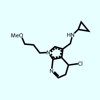 COCCCn1cc(CNC2CC2)c2c1N=CCC2Cl